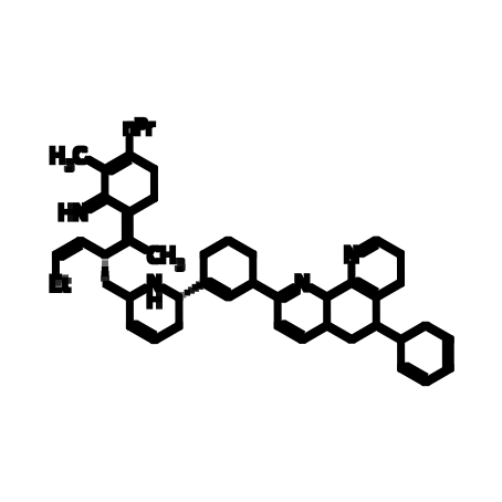 CC/C=C\[C@@H](CC1C=CC[C@@H](C2=CC(C3=NC4C5=C(CCC=N5)C(C5C=CC=CC5)CC4C=C3)CCC2)N1)/C(C)=C1/CCC(CCC)=C(C)C1=N